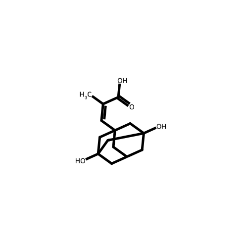 CC(=CC12CC3CC(O)(CC(O)(C3)C1)C2)C(=O)O